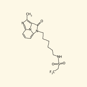 Cc1nc2cccc3n(CCCCCCNS(=O)(=O)CC(F)(F)F)c(=O)c1n23